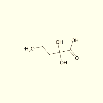 [CH2]CCC(O)(O)C(=O)O